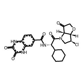 O=C(N[C@H](C(=O)N1C[C@H](Cl)[C@H]2OCC(=O)[C@H]21)C1CCCCC1)c1ccc2[nH]c(=O)c(=O)[nH]c2c1